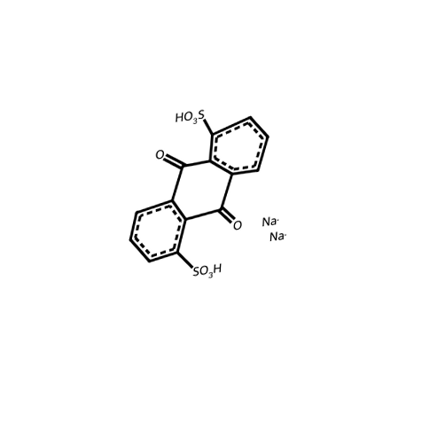 O=C1c2cccc(S(=O)(=O)O)c2C(=O)c2cccc(S(=O)(=O)O)c21.[Na].[Na]